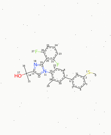 CSc1cccc(-c2ccc(-n3cc(C(C)(C)O)nc3-c3c(F)cccc3F)c(C)c2)c1